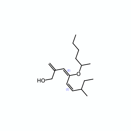 C=C(/C=C(\C=C/C(C)CC)OC(C)CCCC)CO